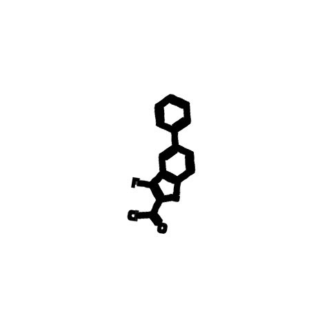 O=C(Cl)c1sc2ccc(-c3ccccc3)cc2c1F